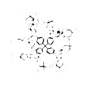 CCCOP(=O)(CN(CP1(=O)OCC(C)(C)CO1)c1ccc(C(c2ccc(N(CP3(=O)OCC(C)(C)CO3)CP3(=O)OCC(C)(C)CO3)cc2)(c2ccc(N(CP3(=O)OCC(C)(C)CO3)CP3(=O)OCC(C)(C)CO3)cc2)c2ccc(N(CP3(=O)OCC(C)(C)CO3)CP3(=O)OCC(C)(C)CO3)cc2)cc1)OCCC